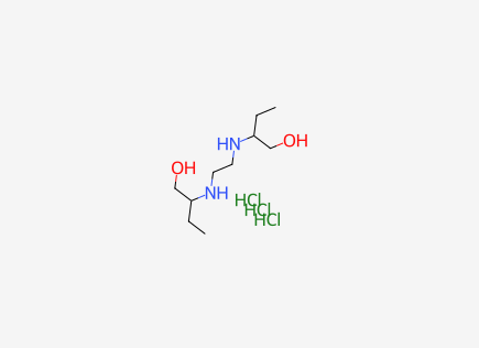 CCC(CO)NCCNC(CC)CO.Cl.Cl.Cl